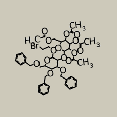 CC(=O)OCC1OC(OC2C(OCCBr)OC(COCc3ccccc3)C(OCc3ccccc3)C2OCc2ccccc2)C(OC(C)=O)C(OC(C)=O)C1OC(C)=O